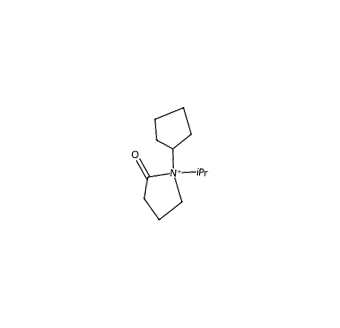 CC(C)[N+]1(C2CCCC2)CCCC1=O